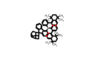 CC1(C)CCC(C)(C)c2c(-c3ccccc3N(c3ccccc3-c3cccc4c3C(C)(C)CCC4(C)C)c3cccc4c3-c3ccccc3C43C4CC5CC6CC3C64C5)cccc21